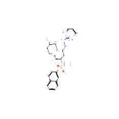 CC1CCN(C(=O)C(CCCNc2ncccn2)NS(=O)(=O)c2ccc3ccccc3c2)CC1